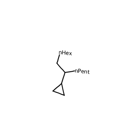 CCC[CH]CCCC(CCCCC)C1CC1